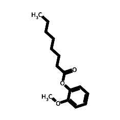 CCCCCCCC(=O)Oc1ccccc1OC